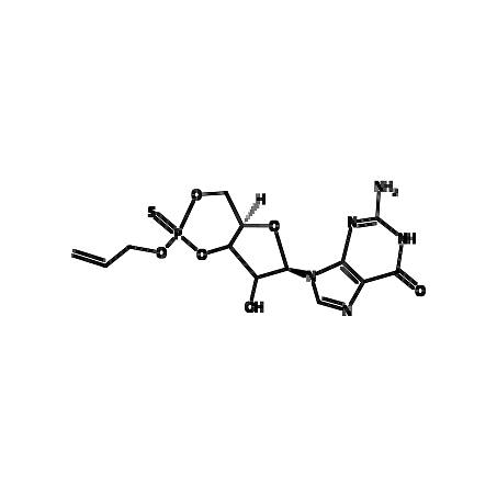 C=CCOP1(=S)OC[C@H]2O[C@@H](n3cnc4c(=O)[nH]c(N)nc43)C(O)C2O1